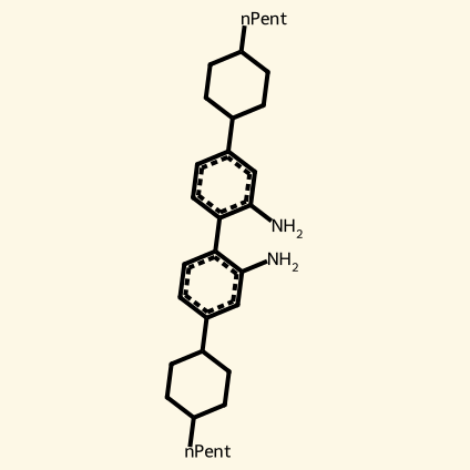 CCCCCC1CCC(c2ccc(-c3ccc(C4CCC(CCCCC)CC4)cc3N)c(N)c2)CC1